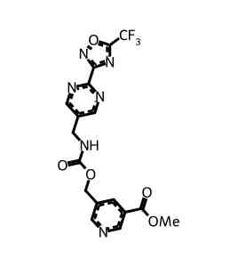 COC(=O)c1cncc(COC(=O)NCc2cnc(-c3noc(C(F)(F)F)n3)nc2)c1